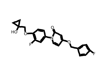 O=c1cc(OCc2ccc(F)cc2)ccn1-c1ccc(OCC2(O)CC2)c(F)c1